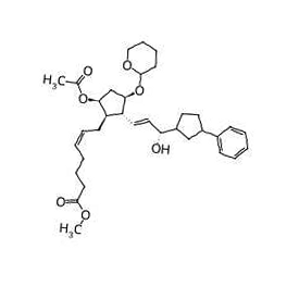 COC(=O)CCC/C=C\C[C@@H]1[C@@H](/C=C/[C@@H](O)C2CCC(c3ccccc3)C2)[C@H](OC2CCCCO2)C[C@@H]1OC(C)=O